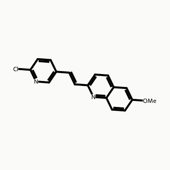 COc1ccc2nc(/C=C/c3ccc(Cl)nc3)ccc2c1